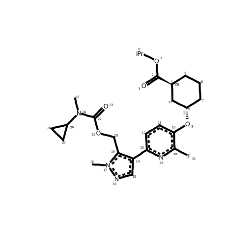 CC(C)OC(=O)[C@H]1CCC[C@H](Oc2ccc(-c3cnn(C)c3COC(=O)N(C)C3CC3)nc2F)C1